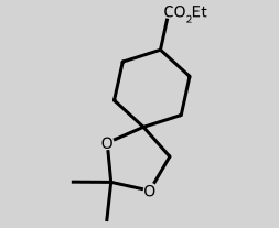 CCOC(=O)C1CCC2(CC1)COC(C)(C)O2